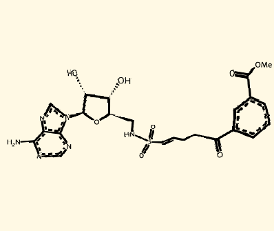 COC(=O)c1cccc(C(=O)CC/C=C/S(=O)(=O)NC[C@H]2O[C@@H](n3cnc4c(N)ncnc43)[C@H](O)[C@@H]2O)c1